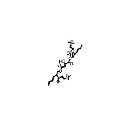 CCCCC(COC(=O)CC(O)C(=O)OCC(CCCC)[PH](=O)CC[N+](C)(C)C)[PH](=O)CC[N+](C)(C)C